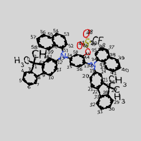 CC1(C)c2ccccc2-c2ccc(N(c3ccc(N(c4ccc5c(c4)C(C)(C)c4ccccc4-5)c4cccc5ccccc45)c(OS(=O)(=O)C(F)(F)F)c3)c3cccc4ccccc34)cc21